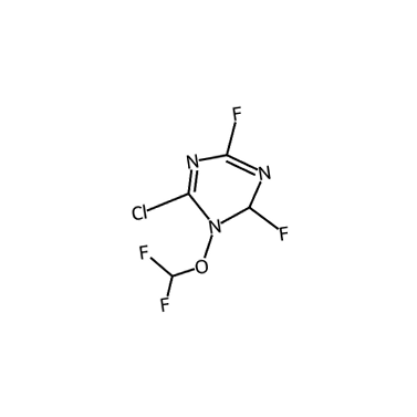 FC1=NC(F)N(OC(F)F)C(Cl)=N1